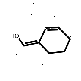 O/C=C1\C=CCCC1